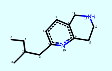 CCC(C)Cc1ccc2c(n1)CCNC2